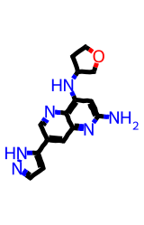 Nc1cc(NC2CCOC2)c2ncc(-c3ccn[nH]3)cc2n1